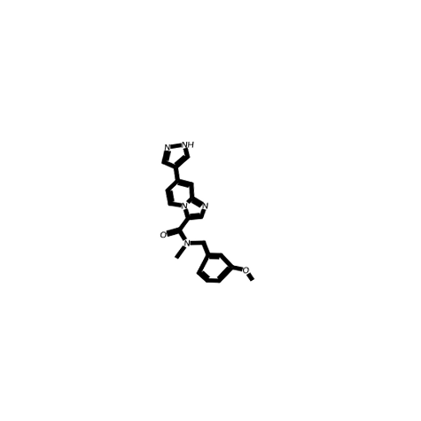 COc1cccc(CN(C)C(=O)c2cnc3cc(-c4cn[nH]c4)ccn23)c1